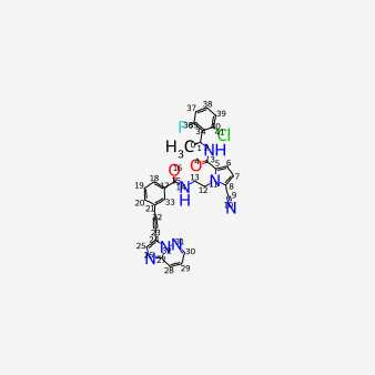 C[C@H](NC(=O)c1ccc(C#N)n1CCNC(=O)c1cccc(C#Cc2cnc3cccnn23)c1)c1c(F)cccc1Cl